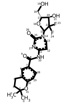 CC1(C)CCc2cc(C(=O)Nc3ccn(C4O[C@H](CO)[C@@H](O)C4(F)F)c(=O)n3)ccc2O1